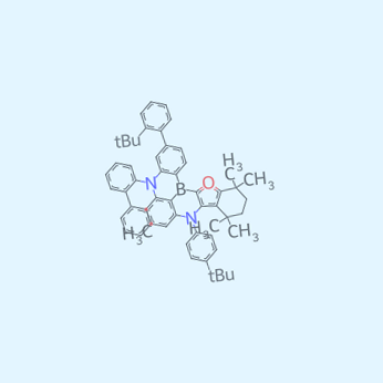 Cc1cc2c3c(c1)N(c1ccc(C(C)(C)C)cc1)c1c(oc4c1C(C)(C)CCC4(C)C)B3c1ccc(-c3ccccc3C(C)(C)C)cc1N2c1ccccc1-c1ccccc1